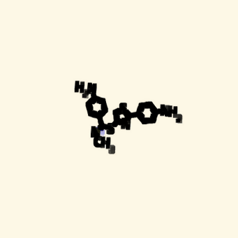 C/N=C(\Sc1csc(-c2ccc(N)cc2)n1)c1ccc(N)cc1